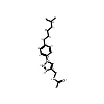 CC(=O)OCc1cn(-c2ccc(CCCCC(C)C)cc2)nn1